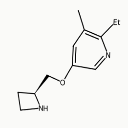 CCc1ncc(OC[C@@H]2CCN2)cc1C